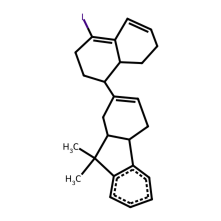 CC1(C)c2ccccc2C2CC=C(C3CCC(I)=C4C=CCCC43)CC21